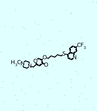 CN1CCN(Cc2cc(=O)c(OCCCCCSc3ccnc4cc(C(F)(F)F)ccc34)co2)CC1